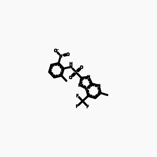 Cc1cc(C(F)(F)F)n2nc(S(=O)(=O)Nc3c(C)cccc3[N+](=O)[O-])nc2n1